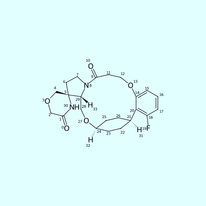 O=C1COC[C@]2(CCN3C(=O)CCOc4cccc(F)c4[C@H]4CC[C@H](CC4)OC[C@@H]32)N1